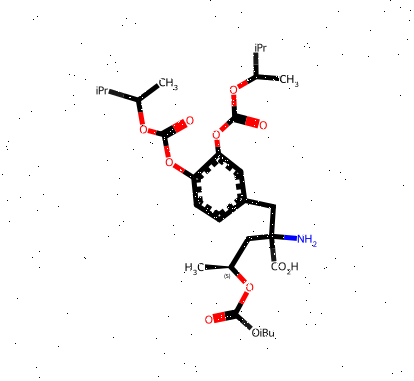 CC(C)COC(=O)O[C@@H](C)CC(N)(Cc1ccc(OC(=O)OC(C)C(C)C)c(OC(=O)OC(C)C(C)C)c1)C(=O)O